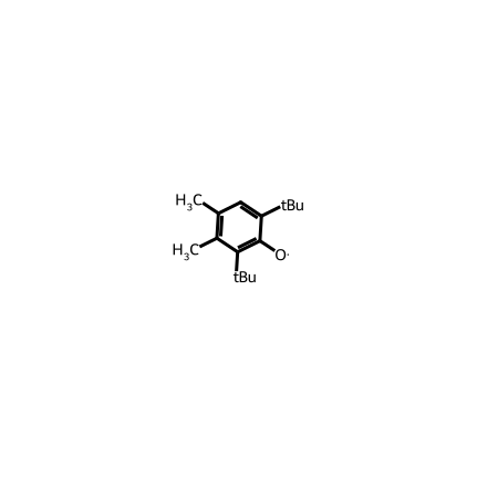 Cc1cc(C(C)(C)C)c([O])c(C(C)(C)C)c1C